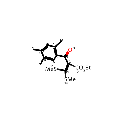 CCOC(=O)C(C(=O)c1cc(C)c(C)cc1C)=C(SC)SC